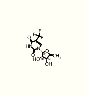 C=C1O[C@@H](n2cc(C(F)(F)F)c(=O)[nH]c2=O)[C@H](O)[C@@H]1O